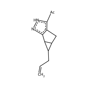 C=CCC1C2Cc3c(n[nH]c3C(C)=O)C12